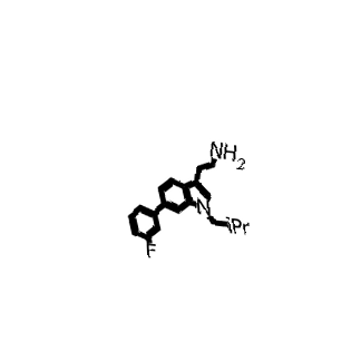 CC(C)Cn1cc(CCN)c2ccc(-c3cccc(F)c3)cc21